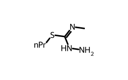 CCCSC(=NC)NN